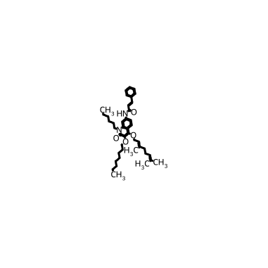 CCCCCCCCOc1c(OC/C=C(\C)CCC=C(C)C)c2ccc(NC(=O)/C=C/c3ccccc3)cc2n(CCCCCC)c1=O